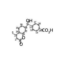 Cc1cc(=O)oc2cc(C(O)c3ccc(C(=O)O)cc3)ccc12